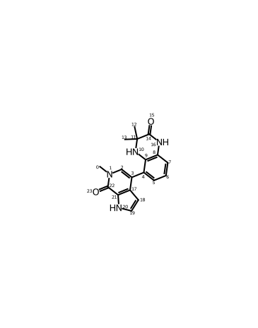 Cn1cc(-c2cccc3c2NC(C)(C)C(=O)N3)c2cc[nH]c2c1=O